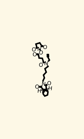 C#CCN(CCCCCCN1C(=O)[C@@H]2C3CCC(C3)[C@@H]2C1=O)C(=O)CCC(=O)ON1C(=O)CCC1=O